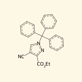 CCOC(=O)c1nn(C(c2ccccc2)(c2ccccc2)c2ccccc2)cc1C#N